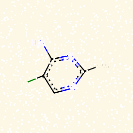 CSc1ncc(Cl)c(N)n1